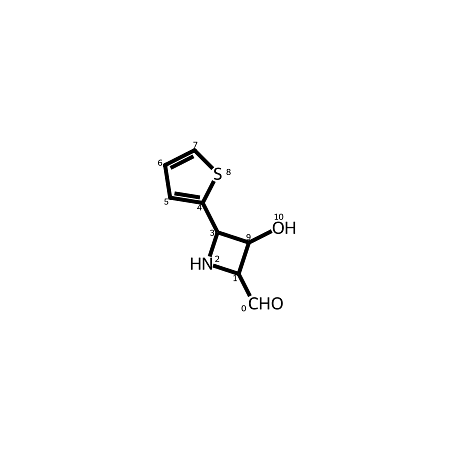 O=CC1NC(c2cccs2)C1O